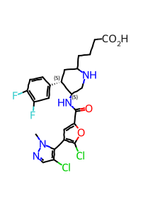 Cn1ncc(Cl)c1-c1cc(C(=O)N[C@@H]2CNC(CCCC(=O)O)C[C@H]2c2ccc(F)c(F)c2)oc1Cl